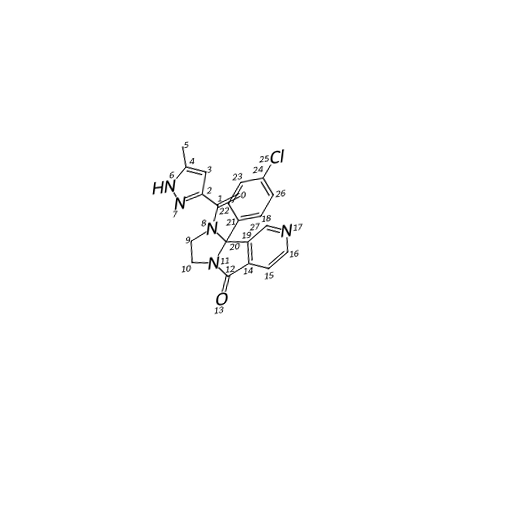 C=C(c1cc(C)[nH]n1)N1CCN2C(=O)c3ccncc3C12c1ccc(Cl)cc1